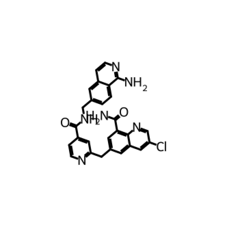 NC(=O)c1cc(Cc2cc(C(=O)NCc3ccc4c(N)nccc4c3)ccn2)cc2cc(Cl)cnc12